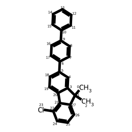 CC1(C)c2cc(-c3ccc(-c4ccccc4)cc3)ccc2-c2c(Cl)cccc21